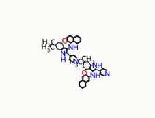 CC1(C)CC(=O)c2c([nH]c(-c3ccncc3)c2Nc2ccc3ccccc3c2)C1.CC1(C)CC(=O)c2c([nH]c(-c3ccncc3)c2Nc2cccc3ccccc23)C1